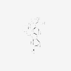 C/C(N)=C(\c1cnc2c3cnc(C#N)nc3n(CC3CCOCC3)c2c1)N(C)N